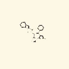 CCc1cc(C(=O)c2ccccc2)c(-n2c(C)nnc2CNC(=O)c2cc3ccccc3[nH]2)s1